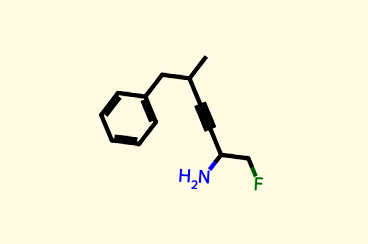 CC(C#CC(N)CF)Cc1ccccc1